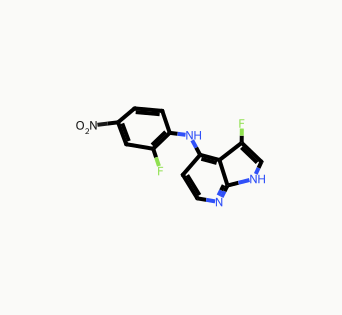 O=[N+]([O-])c1ccc(Nc2ccnc3[nH]cc(F)c23)c(F)c1